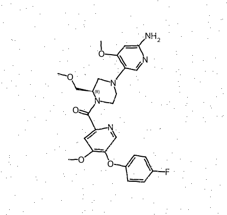 COC[C@H]1CN(c2cnc(N)cc2OC)CCN1C(=O)c1cc(OC)c(Oc2ccc(F)cc2)cn1